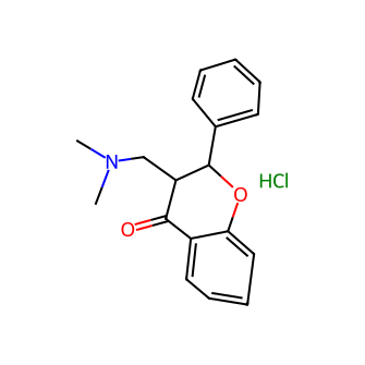 CN(C)CC1C(=O)c2ccccc2OC1c1ccccc1.Cl